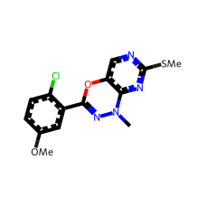 COc1ccc(Cl)c(C2=NN(C)c3nc(SC)ncc3O2)c1